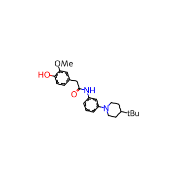 COc1cc(CC(=O)Nc2cccc(N3CCC(C(C)(C)C)CC3)c2)ccc1O